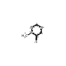 Cn1ncncc1=S